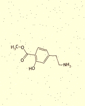 COC(=O)c1ccc(CCN)cc1O